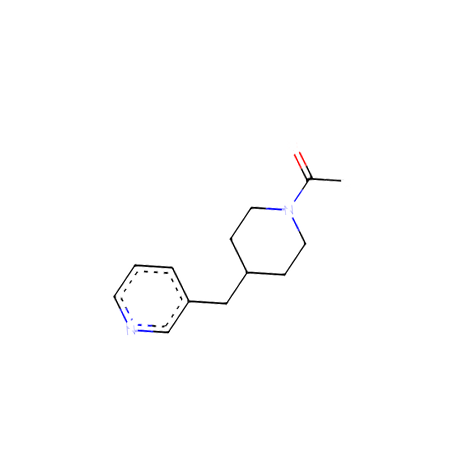 CCC(=O)N1CCC(Cc2cccnc2)CC1